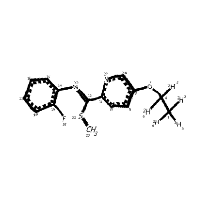 [2H]C([2H])([2H])C([2H])([2H])Oc1ccc(C(=Nc2ccccc2F)SC)nc1